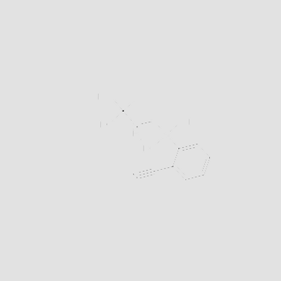 CC(C)(C)[SiH2]O[Si](C)(C)c1ccccc1C#N